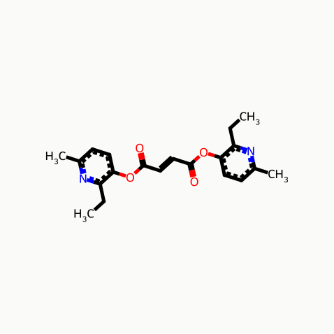 CCc1nc(C)ccc1OC(=O)/C=C/C(=O)Oc1ccc(C)nc1CC